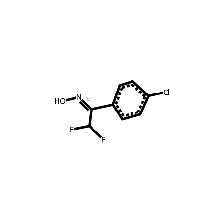 O/N=C(/c1ccc(Cl)cc1)C(F)F